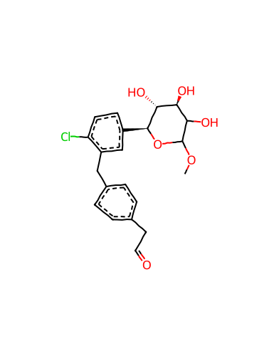 COC1O[C@@H](c2ccc(Cl)c(Cc3ccc(CC=O)cc3)c2)[C@H](O)[C@@H](O)C1O